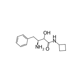 N[C@@H](Cc1ccccc1)C(O)C(=O)NC1CCC1